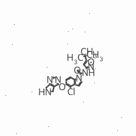 CC(C)(C)c1cc(NC(=O)n2ccc3c(Cl)c(Oc4ncnc5c4CNC5)ccc32)no1